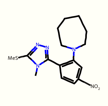 CSc1nnc(-c2ccc([N+](=O)[O-])cc2N2CCCCCC2)n1C